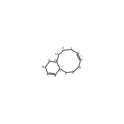 [CH]1C/C=C\CCCC2C=CCCC2C1